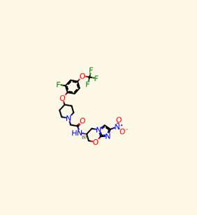 O=C(CN1CCC(Oc2ccc(OC(F)(F)F)cc2F)CC1)N[C@@H]1COc2nc([N+](=O)[O-])cn2C1